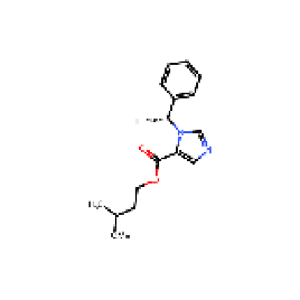 COC(C)CCOC(=O)c1cncn1[C@H](C)c1ccccc1